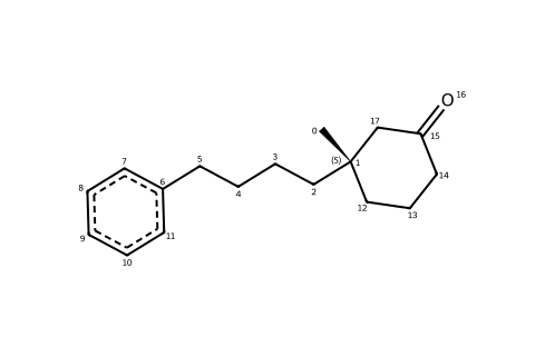 C[C@]1(CCCCc2ccccc2)CCCC(=O)C1